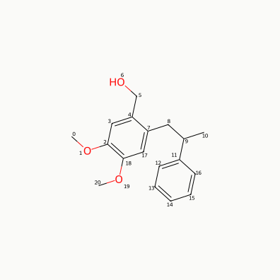 COc1cc(CO)c(CC(C)c2ccccc2)cc1OC